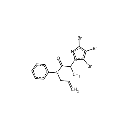 C=CCN(C(=O)C(C)n1nc(Br)c(Br)c1Br)c1ccccc1